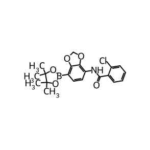 CC1(C)OB(c2ccc(NC(=O)c3ccccc3Cl)c3c2OCO3)OC1(C)C